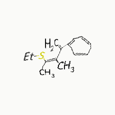 C=C(/C(C)=C(/C)SCC)c1ccccc1